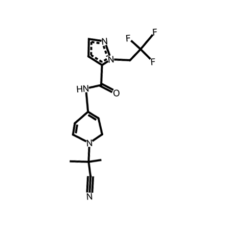 CC(C)(C#N)N1C=CC(NC(=O)c2ccnn2CC(F)(F)F)=CC1